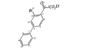 CCOC(=O)C(=O)c1ccc(-c2ccccc2)cc1Br